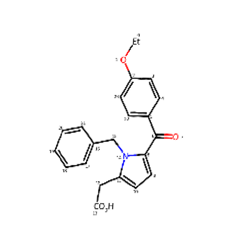 CCOc1ccc(C(=O)c2ccc(CC(=O)O)n2Cc2ccccc2)cc1